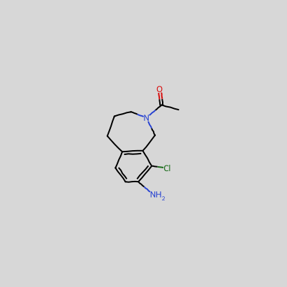 CC(=O)N1CCCc2ccc(N)c(Cl)c2C1